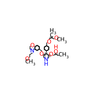 CC[C@H](O)CO[C@@H]1CNC[C@H](OCc2ccc3c(c2)N(CCCOC)CCO3)[C@H]1c1ccc(COC[C@@H](C)COC)cc1